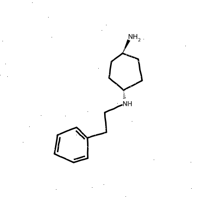 N[C@H]1CC[C@H](NCCc2ccccc2)CC1